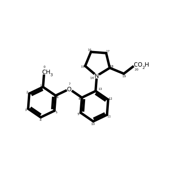 Cc1ccccc1Oc1ccccc1N1CCCC1CC(=O)O